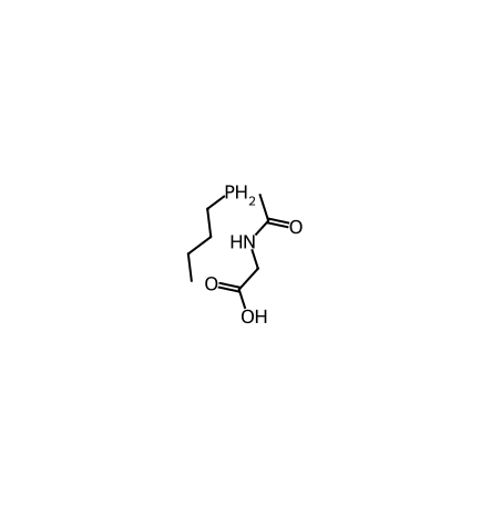 CC(=O)NCC(=O)O.CCCCP